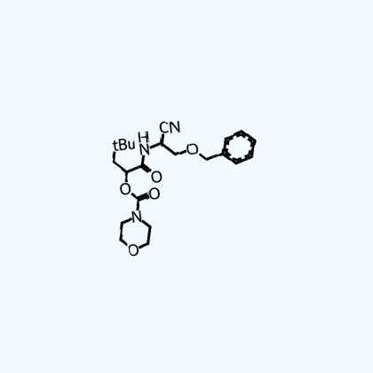 CC(C)(C)CC(OC(=O)N1CCOCC1)C(=O)NC(C#N)COCc1ccccc1